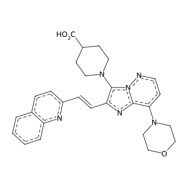 O=C(O)C1CCN(c2c(C=Cc3ccc4ccccc4n3)nc3c(N4CCOCC4)ccnn23)CC1